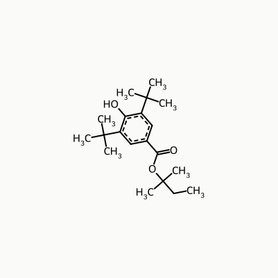 CCC(C)(C)OC(=O)c1cc(C(C)(C)C)c(O)c(C(C)(C)C)c1